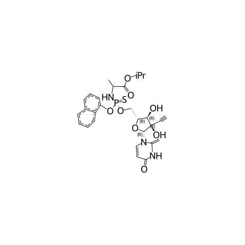 C#C[C@@]1(O)[C@H](O)[C@@H](COP(=S)(NC(C)C(=O)OC(C)C)Oc2cccc3ccccc23)O[C@H]1N1C=CC(=O)NC1=C